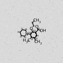 CCCOc1c(C(=O)O)cc(C)c(C)c1N1CCCCC1